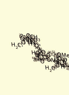 C=CCOC(=O)N[C@H](C(=O)N[C@@H](C)C(=O)Nc1ccc(COC(=O)N2c3cc(OCCCCCOc4cc5c(cc4OC)C(=O)N4CC6(CC6)C[C@H]4CN5C(=O)OCC=C)c(OC)cc3C(=O)N3CC4(CC4)C[C@H]3C2O)cc1)C(C)C